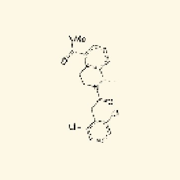 CNC(=O)c1cccc2c1CCN(C(=O)Cc1c(Cl)cccc1Cl)[C@H]2C